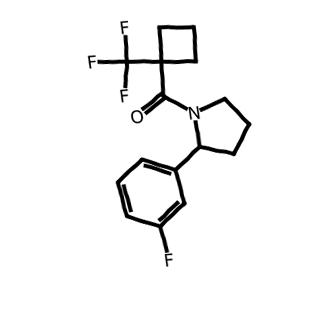 O=C(N1CCCC1c1cccc(F)c1)C1(C(F)(F)F)CCC1